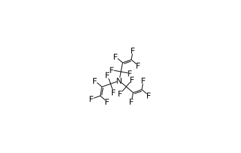 FC(F)=C(F)C(F)(F)N(C(F)(F)C(F)=C(F)F)C(F)(F)C(F)=C(F)F